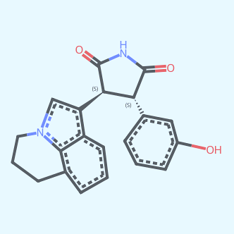 O=C1NC(=O)[C@H](c2cn3c4c(cccc24)CCC3)[C@H]1c1cccc(O)c1